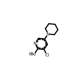 CC(C)(C)c1ncc(N2CCCCC2)cc1Cl